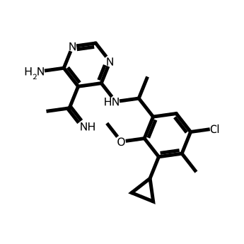 COc1c(C(C)Nc2ncnc(N)c2C(C)=N)cc(Cl)c(C)c1C1CC1